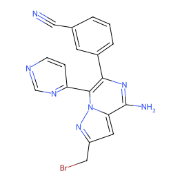 N#Cc1cccc(-c2nc(N)c3cc(CBr)nn3c2-c2ccncn2)c1